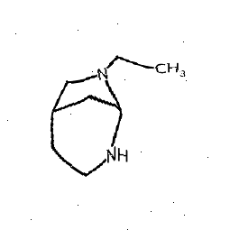 CCN1CC2CCNC1C2